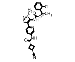 C[C@@H](OC(=O)Nc1c(-c2ccc(NC(=O)[C@H]3C[C@H](C#N)C3)cn2)nnn1C)c1ccccc1Cl